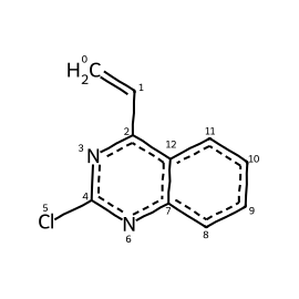 C=Cc1nc(Cl)nc2ccccc12